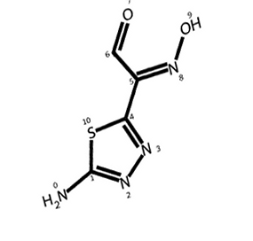 Nc1nnc(/C([C]=O)=N/O)s1